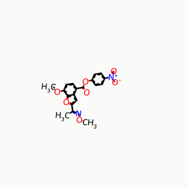 CON=C(C)c1cc2c(C(=O)Oc3ccc([N+](=O)[O-])cc3)ccc(OC)c2o1